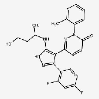 Cc1ccccc1-n1nc(-c2c(-c3ccc(F)cc3F)n[nH]c2NC(C)CCO)ccc1=O